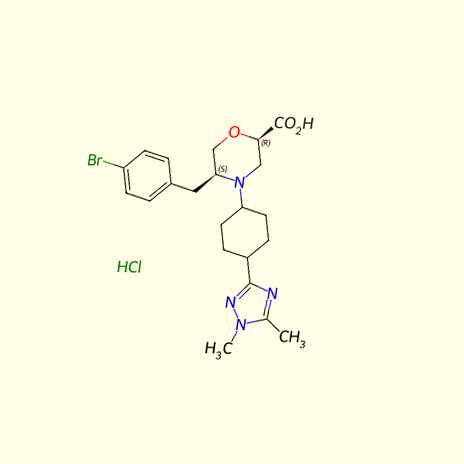 Cc1nc(C2CCC(N3C[C@H](C(=O)O)OC[C@@H]3Cc3ccc(Br)cc3)CC2)nn1C.Cl